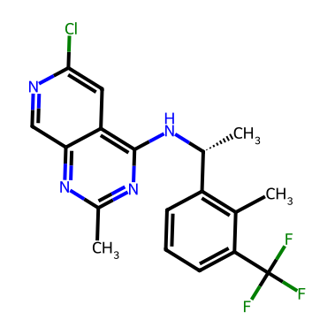 Cc1nc(N[C@H](C)c2cccc(C(F)(F)F)c2C)c2cc(Cl)ncc2n1